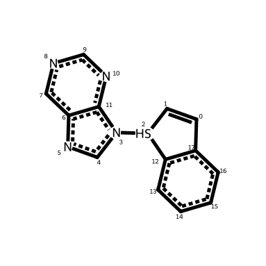 C1=C[SH](n2cnc3cncnc32)c2ccccc21